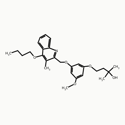 CCCCOc1c(C)c(COc2cc(OC)cc(OCCC(C)(C)O)c2)nc2ccccc12